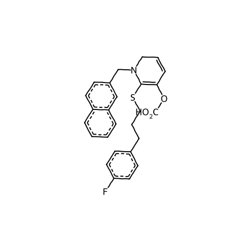 O=C(O)OC1=C(SCCCc2ccc(F)cc2)N(Cc2ccc3ccccc3c2)CC=C1